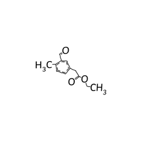 CCOC(=O)Cc1ccc(C)c(C=O)c1